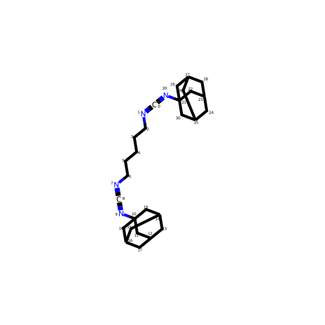 C(=NCCCCCN=C=NC12CC3CC(CC(C3)C1)C2)=NC12CC3CC(CC(C3)C1)C2